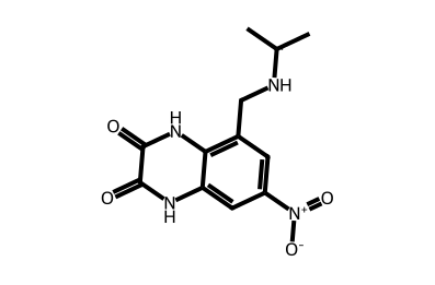 C[C](C)NCc1cc([N+](=O)[O-])cc2[nH]c(=O)c(=O)[nH]c12